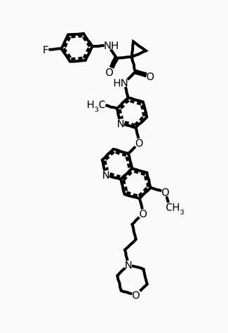 COc1cc2c(Oc3ccc(NC(=O)C4(C(=O)Nc5ccc(F)cc5)CC4)c(C)n3)ccnc2cc1OCCCN1CCOCC1